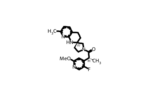 COc1cc([C@@H](C)C(=O)N2CC[C@@]3(CCc4ccc(C)nc4N3)C2)c(F)cn1